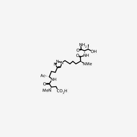 CN[C@@H](CC(=O)O)C(=O)N[C@@H](CCc1cn(CCCC[C@H](NC)C(=O)N[C@H](C(N)=O)[C@@H](C)O)nn1)C(C)=O